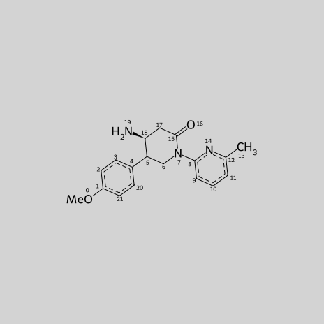 COc1ccc(C2CN(c3cccc(C)n3)C(=O)C[C@@H]2N)cc1